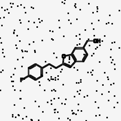 OCc1ccc2cc(CCc3ccc(F)cc3)oc2c1